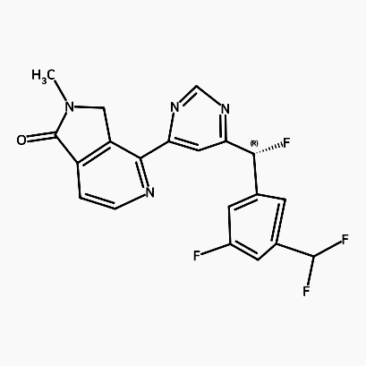 CN1Cc2c(ccnc2-c2cc([C@H](F)c3cc(F)cc(C(F)F)c3)ncn2)C1=O